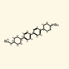 CCCCC1CCC(c2ccc(-c3ccc(C4CCC(CC(C)CC)CC4)cc3)cc2)CC1